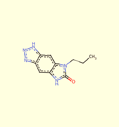 CCCn1c(=O)[nH]c2cc3nn[nH]c3cc21